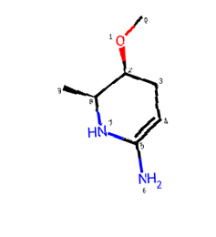 CO[C@H]1CC=C(N)N[C@H]1C